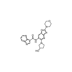 O=C(Nc1cc2oc(N3CCOCC3)nc2nc1N1CC[C@@H](O)C1)c1cnn2cccnc12